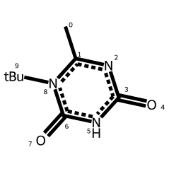 Cc1nc(=O)[nH]c(=O)n1C(C)(C)C